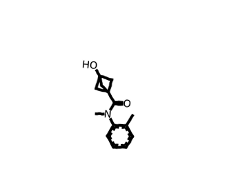 Cc1ccccc1N(C)C(=O)C12CC(O)(C1)C2